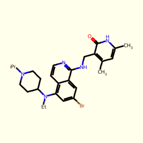 CCN(c1cc(Br)cc2c(NCc3c(C)cc(C)[nH]c3=O)nccc12)C1CCN(C(C)C)CC1